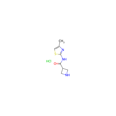 Cc1csc(NC(=O)C2CNC2)n1.Cl